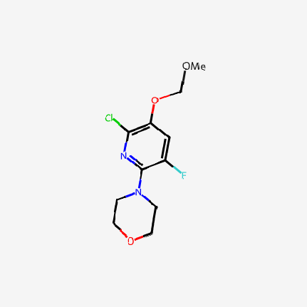 COCOc1cc(F)c(N2CCOCC2)nc1Cl